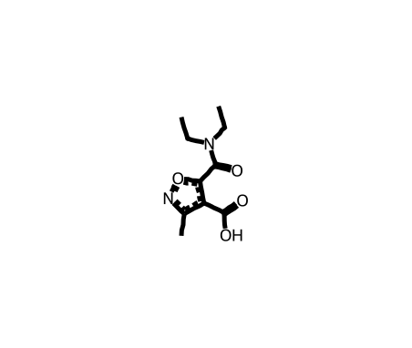 CCN(CC)C(=O)c1onc(C)c1C(=O)O